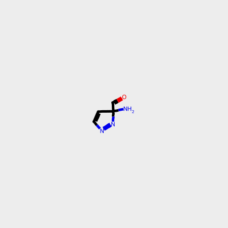 NC1(C=O)C=CN=N1